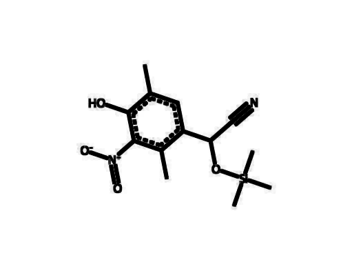 Cc1cc(C(C#N)O[Si](C)(C)C)c(C)c([N+](=O)[O-])c1O